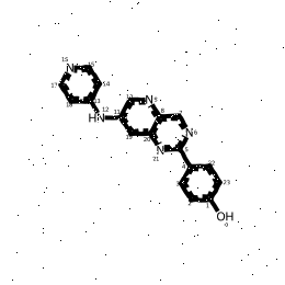 Oc1ccc(-c2ncc3ncc(Nc4ccncc4)cc3n2)cc1